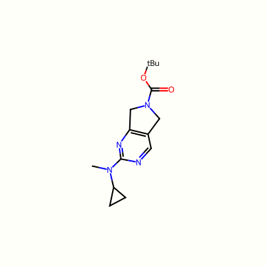 CN(c1ncc2c(n1)CN(C(=O)OC(C)(C)C)C2)C1CC1